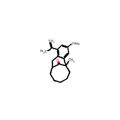 C=C(C)c1cc(OC)cc2c1CC1CCCCCC2(C)C1=O